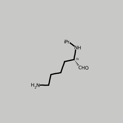 CC(C)N[C@H](C=O)CCCCN